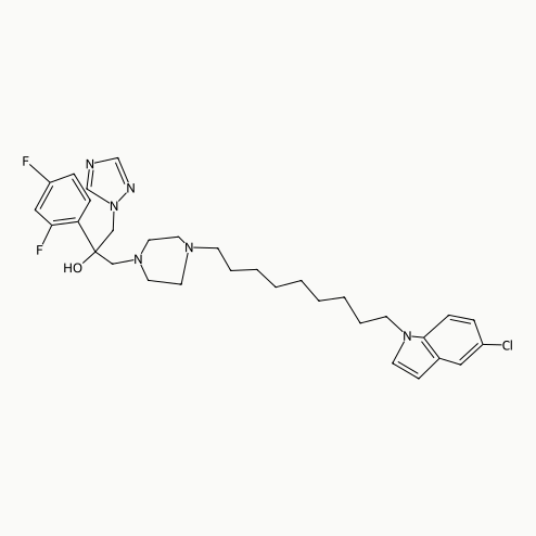 OC(CN1CCN(CCCCCCCCCn2ccc3cc(Cl)ccc32)CC1)(Cn1cncn1)c1ccc(F)cc1F